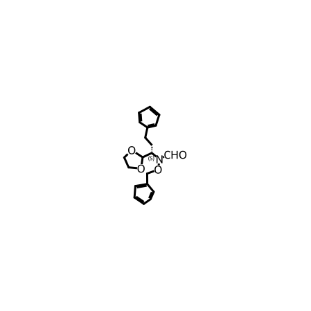 O=CN(OCc1ccccc1)[C@@H](CCc1ccccc1)C1OCCO1